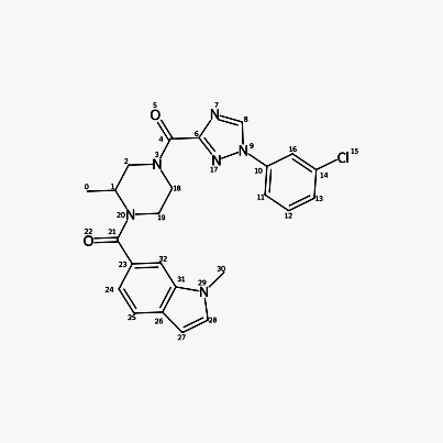 CC1CN(C(=O)c2ncn(-c3cccc(Cl)c3)n2)CCN1C(=O)c1ccc2ccn(C)c2c1